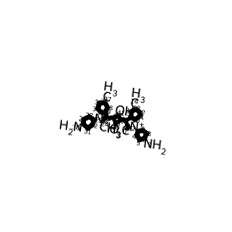 CC1=[N+](c2ccc(N)cc2)c2ccc(C)cc2/C1=C1/C(=O)C(c2c(C)n(-c3ccc(N)cc3)c3ccc(C)cc23)=C1O